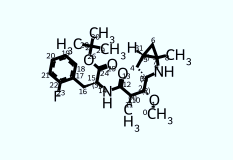 CO[C@@H]([C@@H]1C[C@@H]2CC2(C)N1)[C@@H](C)C(=O)N[C@@H](Cc1ccccc1F)C(=O)OC(C)(C)C